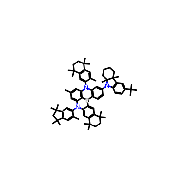 Cc1cc2c3c(c1)N(c1cc4c(cc1C)C(C)(C)CC4(C)C)c1cc4c(cc1B3c1ccc(N3c5ccc(C(C)(C)C)cc5C5(C)CCCCC35C)cc1N2c1cc2c(cc1C)C(C)(C)CCC2(C)C)C(C)(C)CCC4(C)C